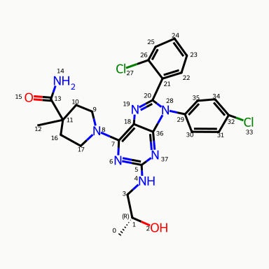 C[C@@H](O)CNc1nc(N2CCC(C)(C(N)=O)CC2)c2nc(-c3ccccc3Cl)n(-c3ccc(Cl)cc3)c2n1